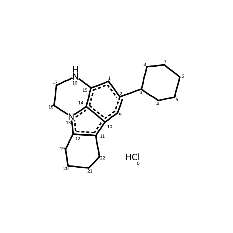 Cl.c1c(C2CCCCC2)cc2c3c(n4c2c1NCC4)CCCC3